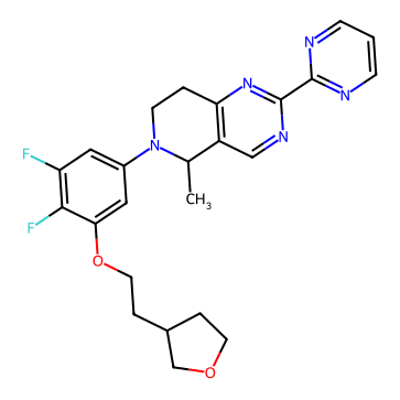 CC1c2cnc(-c3ncccn3)nc2CCN1c1cc(F)c(F)c(OCCC2CCOC2)c1